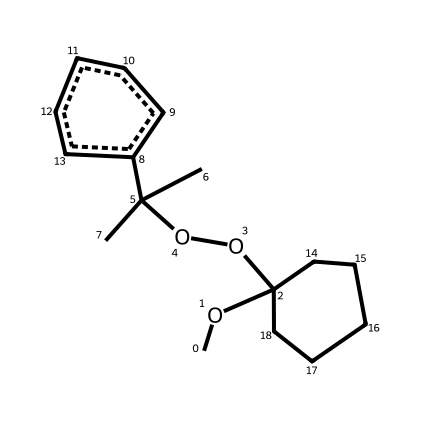 COC1(OOC(C)(C)c2ccccc2)CCCCC1